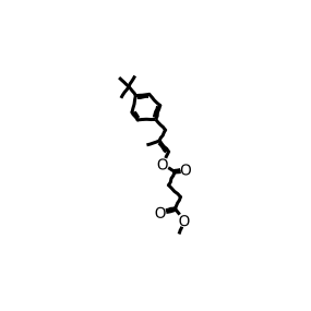 COC(=O)CCC(=O)O/C=C(\C)Cc1ccc(C(C)(C)C)cc1